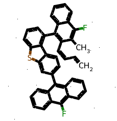 C=C/C=C\c1c(C)c(F)c2ccccc2c1-c1cccc2sc3cc(-c4c5ccccc5c(F)c5ccccc45)ccc3c12